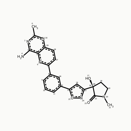 Cc1nc(N)c2nc(-c3cccc(-c4cc([C@]5(O)CCN(C)C5=O)no4)c3)ccc2n1